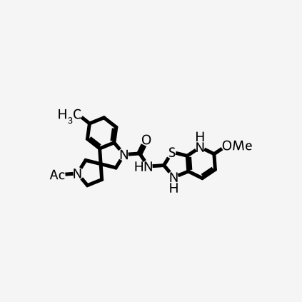 COC1C=CC2=C(N1)SC(NC(=O)N1CC3(CCN(C(C)=O)C3)C3=CC(C)CC=C31)N2